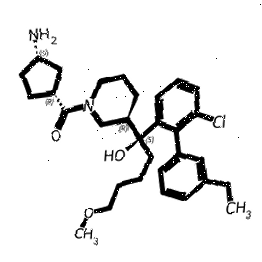 CCc1cccc(-c2c(Cl)cccc2[C@](O)(CCCCOC)[C@@H]2CCCN(C(=O)[C@@H]3CC[C@H](N)C3)C2)c1